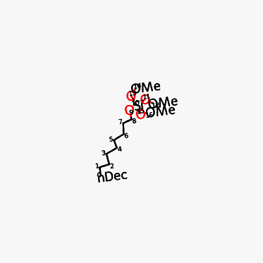 CCCCCCCCCCCCCCCCCCO[Si](OOC)(OOC)OOC